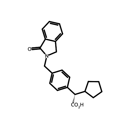 O=C(O)[C@H](c1ccc(CN2Cc3ccccc3C2=O)cc1)C1CCCC1